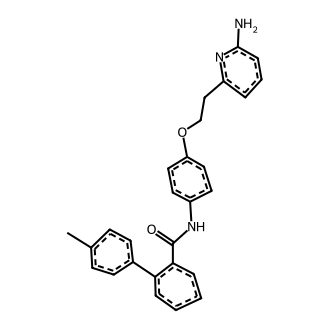 Cc1ccc(-c2ccccc2C(=O)Nc2ccc(OCCc3cccc(N)n3)cc2)cc1